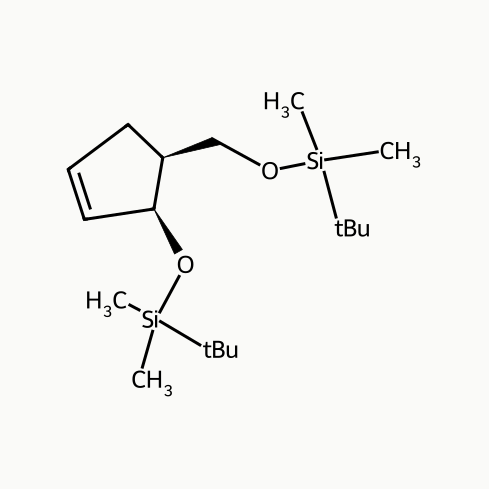 CC(C)(C)[Si](C)(C)OC[C@@H]1CC=C[C@@H]1O[Si](C)(C)C(C)(C)C